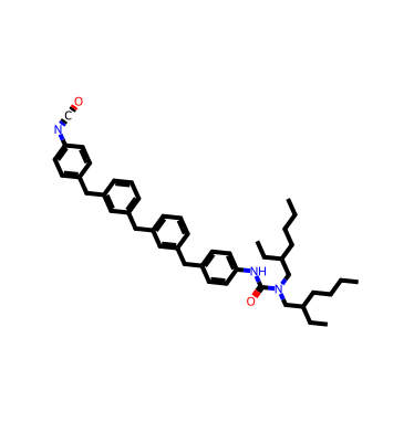 CCCCC(CC)CN(CC(CC)CCCC)C(=O)Nc1ccc(Cc2cccc(Cc3cccc(Cc4ccc(N=C=O)cc4)c3)c2)cc1